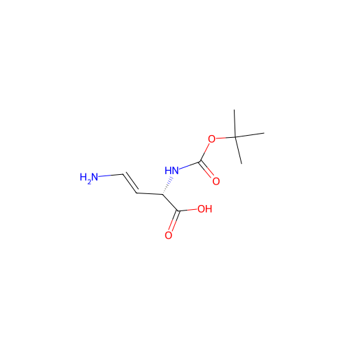 CC(C)(C)OC(=O)N[C@@H](/C=C/N)C(=O)O